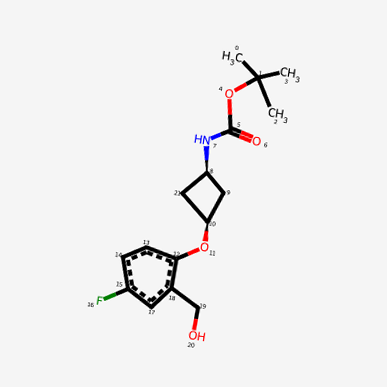 CC(C)(C)OC(=O)N[C@H]1C[C@@H](Oc2ccc(F)cc2CO)C1